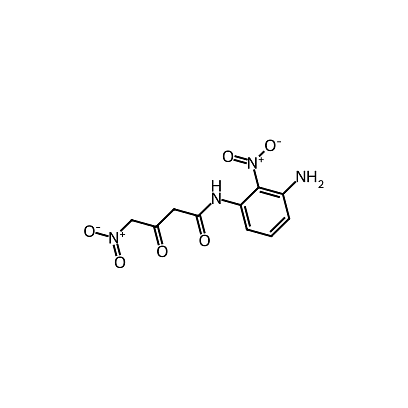 Nc1cccc(NC(=O)CC(=O)C[N+](=O)[O-])c1[N+](=O)[O-]